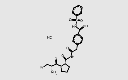 CC(C)C[C@@H](N)C(=O)N1CCC[C@H]1C(=O)NC(=O)Cc1ccc(C(=N)NS(=O)(=O)c2ccccc2)cc1.Cl